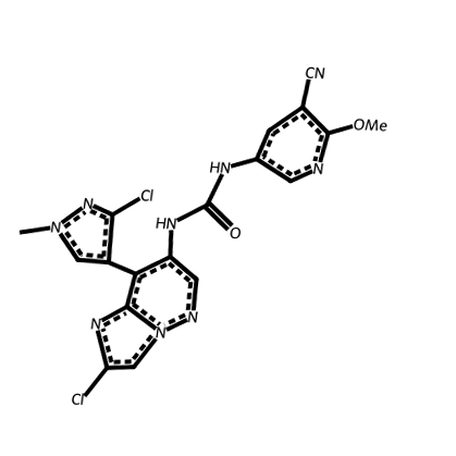 COc1ncc(NC(=O)Nc2cnn3cc(Cl)nc3c2-c2cn(C)nc2Cl)cc1C#N